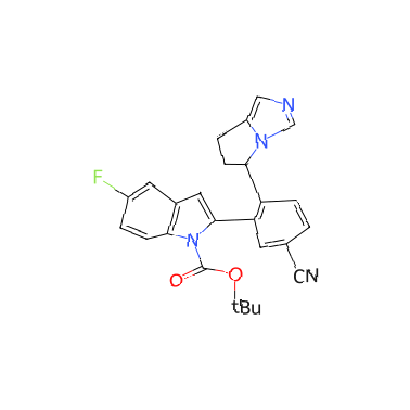 CC(C)(C)OC(=O)n1c(-c2cc(C#N)ccc2C2CCc3cncn32)cc2cc(F)ccc21